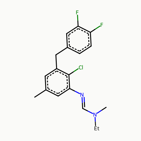 CCN(C)C=Nc1cc(C)cc(Cc2ccc(F)c(F)c2)c1Cl